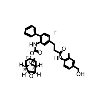 Cc1cc(CO)ccc1NC(=O)CCc1ccc(-c2ccccc2)c(NC(=O)O[C@@H]2C[C@@H]3[C@H]4O[C@H]4[C@H](C2)[N+]3(C)C)c1.[I-]